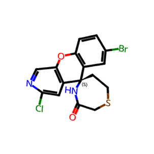 O=C1CSCC[C@]2(N1)c1cc(Br)ccc1Oc1cnc(Cl)cc12